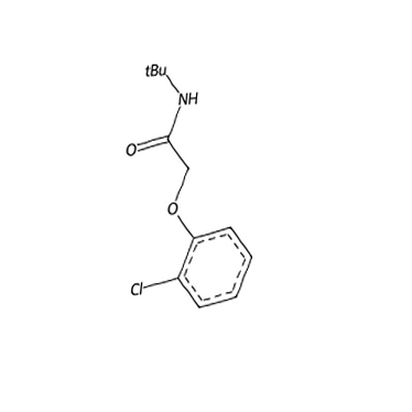 CC(C)(C)NC(=O)COc1ccccc1Cl